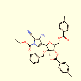 CCOC(=O)n1cc(C2OC(COC(=O)c3ccc(C)cc3)[C@@H](OC(=O)c3ccc(C)cc3)[C@@]2(C)OCc2ccccc2)c(N)c1C#N